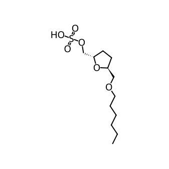 CCCCCCOC[C@@H]1CC[C@@H](COS(=O)(=O)O)O1